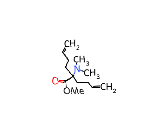 C=CCCC(CCC=C)(C(=O)OC)N(C)C